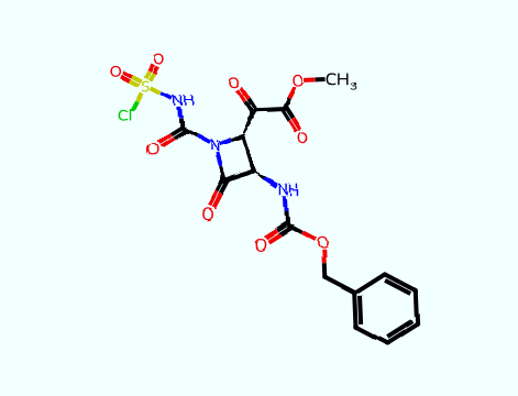 COC(=O)C(=O)[C@H]1[C@@H](NC(=O)OCc2ccccc2)C(=O)N1C(=O)NS(=O)(=O)Cl